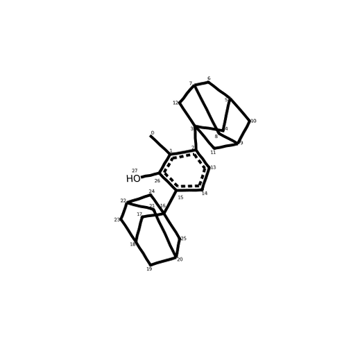 Cc1c(C23CC4CC(CC(C4)C2)C3)ccc(C23CC4CC(CC(C4)C2)C3)c1O